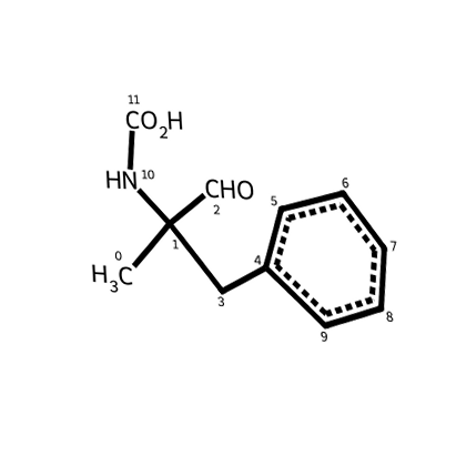 CC(C=O)(Cc1ccccc1)NC(=O)O